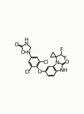 O=C1NCN(c2cc(Cl)c(Oc3ccc4[nH]c(=O)n(C5(C(F)F)CC5)c4c3)c(Cl)c2)O1